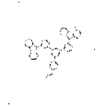 C=Cc1ccc(-c2cc(-c3cccc(-n4c5ccccc5c5ccccc54)c3)cc(-c3cccc(-n4c5ccccc5c5ccccc54)c3)n2)cc1